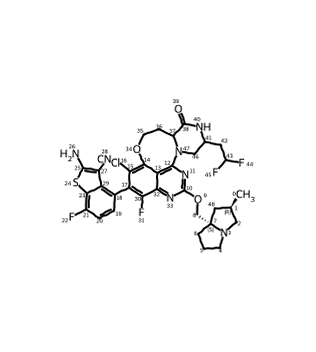 C[C@H]1CN2CCC[C@@]2(COc2nc3c4c(c(Cl)c(-c5ccc(F)c6sc(N)c(C#N)c56)c(F)c4n2)OCCC2C(=O)NC(CC(F)F)CN32)C1